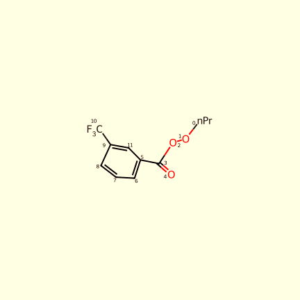 CCCOOC(=O)c1cccc(C(F)(F)F)c1